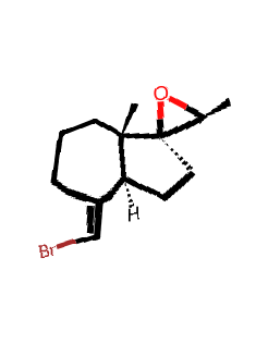 C[C@@H]1O[C@@]12CC[C@H]1/C(=C/Br)CCC[C@@]12C